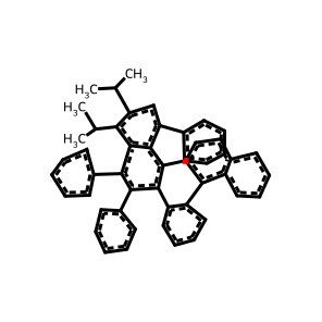 CC(C)c1cc2c3c(c(-c4ccccc4-c4cccc5ccccc45)c(-c4ccccc4)c(-c4ccccc4)c3c1C(C)C)-c1ccccc1-2